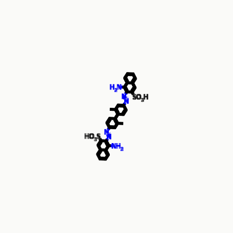 Cc1cc(/N=N/c2c(S(=O)(=O)O)cc3ccccc3c2N)ccc1-c1ccc(/N=N/c2c(S(=O)(=O)O)cc3ccccc3c2N)cc1C